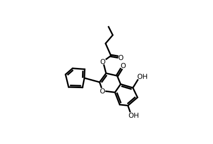 CCCC(=O)Oc1c(-c2ccccc2)oc2cc(O)cc(O)c2c1=O